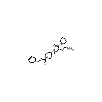 NCCC(CNC1CCN(C(=O)OCc2ccccc2)CC1)C(=O)N1CCCCC1